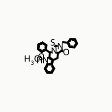 COc1ccccc1C1c2[nH]c3ccccc3c2CC2C(=O)N(Cc3ccccc3)C(=S)N21